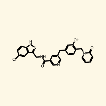 O=C(NCc1n[nH]c2ccc(Cl)cc12)c1cncc(Cc2ccc(Cn3ccccc3=O)c(O)c2)c1